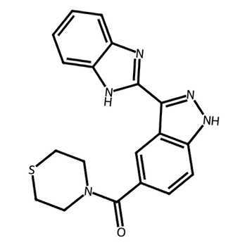 O=C(c1ccc2[nH]nc(-c3nc4ccccc4[nH]3)c2c1)N1CCSCC1